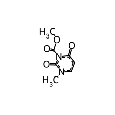 COC(=O)n1c(=O)ccn(C)c1=O